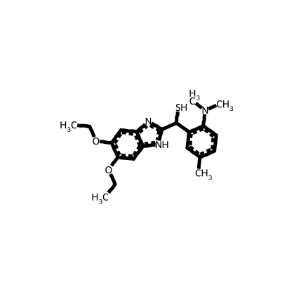 CCOc1cc2nc(C(S)c3cc(C)ccc3N(C)C)[nH]c2cc1OCC